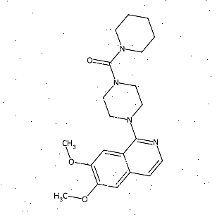 COc1cc2ccnc(N3CCN(C(=O)N4CCCCC4)CC3)c2cc1OC